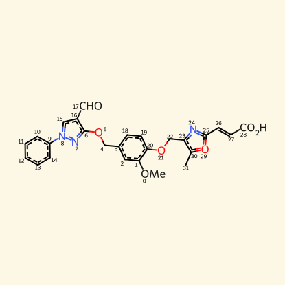 COc1cc(COc2nn(-c3ccccc3)cc2C=O)ccc1OCc1nc(C=CC(=O)O)oc1C